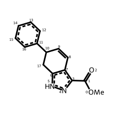 COC(=O)c1n[nH]c2c1C=CC(c1ccccc1)C2